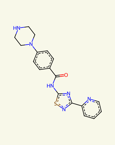 O=C(Nc1nc(-c2ccccn2)ns1)c1ccc(N2CCNCC2)cc1